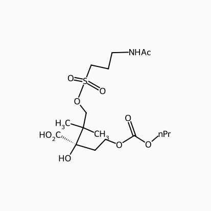 CCCOC(=O)OCC[C@](O)(C(=O)O)C(C)(C)COS(=O)(=O)CCCNC(C)=O